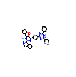 c1ccc(-c2nc(-c3ccccc3)nc(-c3ccc(C4=NC(c5nccc6ccccc56)Nc5c4oc4ccccc54)cc3)n2)cc1